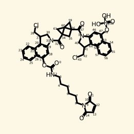 O=C(NCCCCCCN1C(=O)C=CC1=O)Oc1cc2c(c3ccccc13)C(CCl)CN2C(=O)C12CC3(C(=O)N4CC(CCl)c5c4cc(OP(=O)(O)O)c4ccccc54)CC13C2